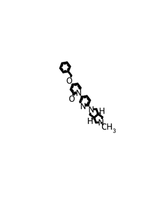 CN1C[C@@H]2CN(c3ccc(-n4ccc(OCc5ccccc5)cc4=O)cn3)C[C@@H]2C1